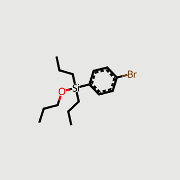 CCCO[Si](CCC)(CCC)c1ccc(Br)cc1